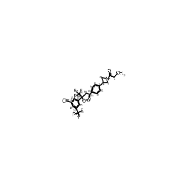 CCC(=O)N1CC(c2ccc(C3=NOC(c4cc(Cl)cc(C(F)(F)F)c4)(C(F)(F)F)C3)cc2)C1